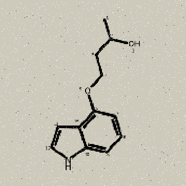 CC(O)CCOc1cccc2[nH]ccc12